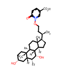 CC[C@H]1[C@@H](O)[C@@H]2[C@H](CC[C@]3(C)[C@@H]([C@H](C)CCOn4cc(C(=O)O)ccc4=O)CC[C@@H]23)[C@@]2(C)CC[C@@H](O)C[C@@H]12